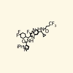 CC(C)n1nccc1C(=O)N[C@H](c1nc2cc(C(NC(=O)CCC(F)(F)F)C3CC3)cnn2c1F)C1CCC(F)(F)CC1